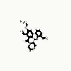 CCOc1cccc(C(=O)N2CCOC[C@H]2COc2ccccc2C=O)c1C=O